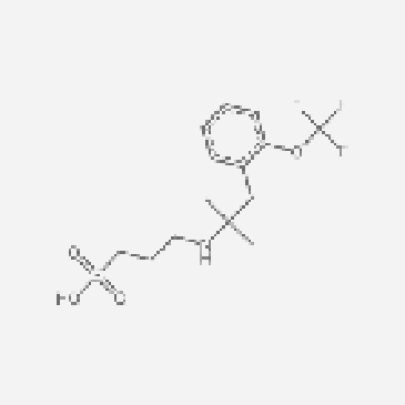 CC(C)(Cc1ccccc1OC(F)(F)F)NCCCS(=O)(=O)O